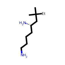 CCC(C)(C)C[C@@H](N)CCCCN